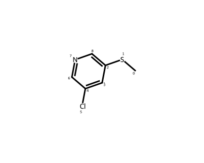 CSc1[c]c(Cl)cnc1